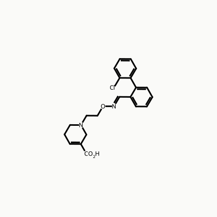 O=C(O)C1=CCCN(CCON=Cc2ccccc2-c2ccccc2Cl)C1